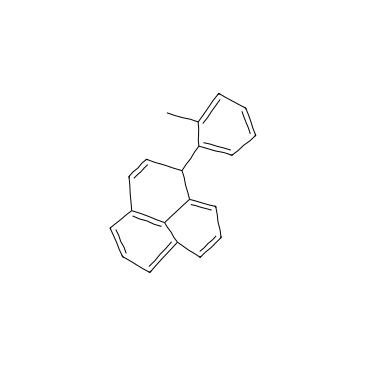 Cc1ccccc1C1C=Cc2cccc3cccc1c23